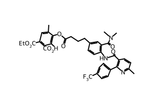 CCOC(=O)c1cc(C)c(OC(=O)CCCc2ccc(NC(=O)c3ccc(C)nc3-c3ccc(C(F)(F)F)cc3)c(C(=O)N(C)C)c2)c(C(=O)O)c1